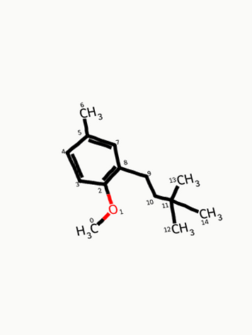 COc1ccc(C)cc1CCC(C)(C)C